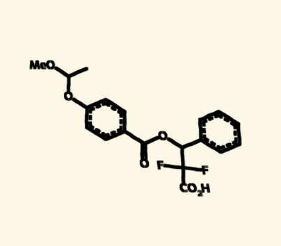 COC(C)Oc1ccc(C(=O)OC(c2ccccc2)C(F)(F)C(=O)O)cc1